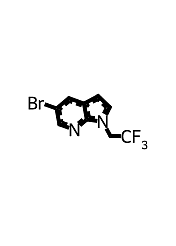 FC(F)(F)Cn1ccc2cc(Br)cnc21